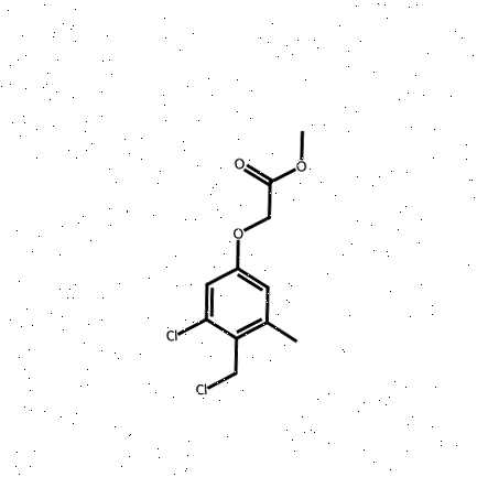 COC(=O)COc1cc(C)c(CCl)c(Cl)c1